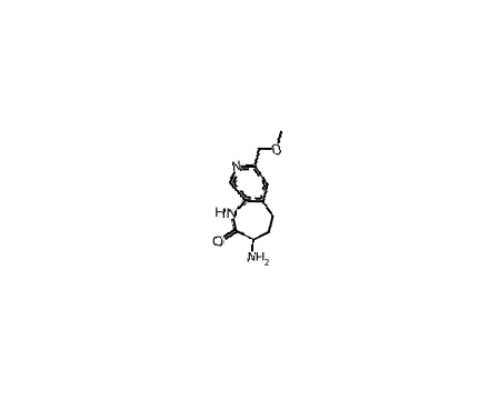 COCc1cc2c(cn1)NC(=O)C(N)CC2